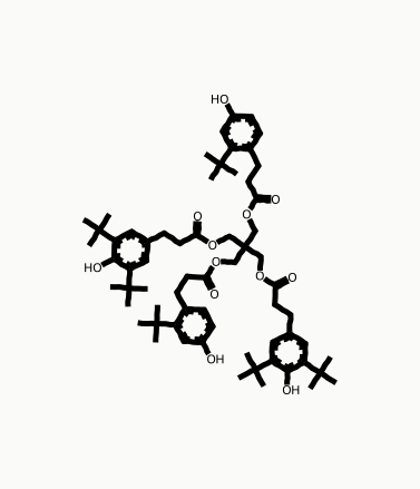 CC(C)(C)c1cc(O)ccc1CCC(=O)OCC(COC(=O)CCc1cc(C(C)(C)C)c(O)c(C(C)(C)C)c1)(COC(=O)CCc1cc(C(C)(C)C)c(O)c(C(C)(C)C)c1)COC(=O)CCc1ccc(O)cc1C(C)(C)C